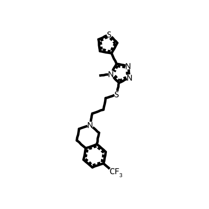 Cn1c(SCCCN2CCc3ccc(C(F)(F)F)cc3C2)nnc1-c1ccsc1